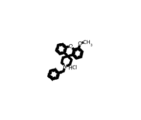 COc1cccc2c1Oc1ccccc1C21CCN(Cc2ccccc2)CC1.Cl